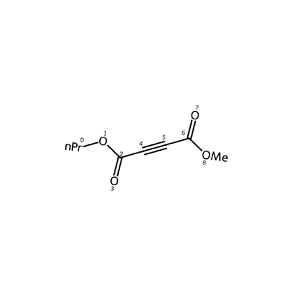 CCCOC(=O)C#CC(=O)OC